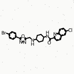 O=C(NC1CCC(NCc2nnc(-c3ccc(Br)cc3)o2)CC1)c1ccc2cc(Cl)ccc2n1